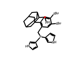 CC(C)(C)c1cc(CP(c2cc[nH]c2)c2cc[nH]c2)c(C23CC4CC(CC(C4)C2CP)C3)cc1C(C)(C)C